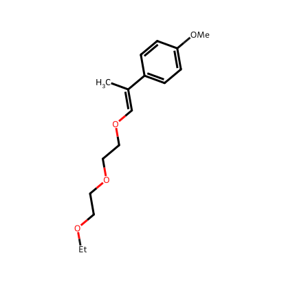 CCOCCOCCOC=C(C)c1ccc(OC)cc1